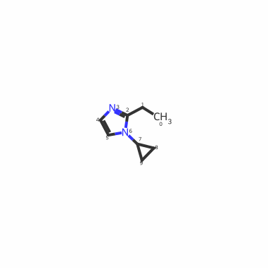 CCc1nccn1C1CC1